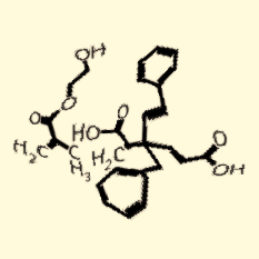 C=C(C(=O)O)C(C=CC(=O)O)(C=Cc1ccccc1)Cc1ccccc1.C=C(C)C(=O)OCCO